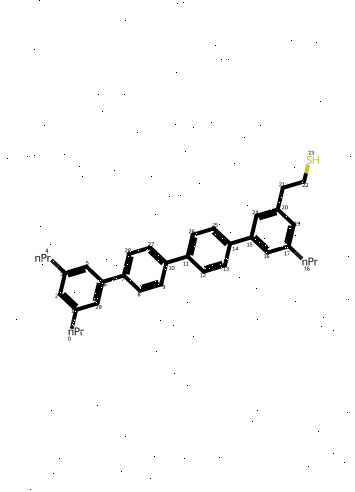 CCCc1cc(CCC)cc(-c2ccc(-c3ccc(-c4cc(CCC)cc(CCS)c4)cc3)cc2)c1